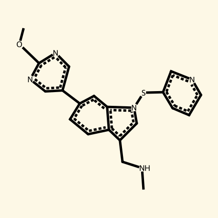 CNCc1cn(Sc2cccnc2)c2cc(-c3cnc(OC)nc3)ccc12